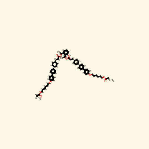 C=CC(=O)OCCCCCCOc1ccc(-c2ccc([C@H]3CC[C@H](CCC(=O)OC(CC)c4ccccc4C(CC)OC(=O)CC[C@H]4CC[C@H](c5ccc(-c6ccc(OCCCCCCOC(=O)C=C)cc6)cc5)CC4)CC3)cc2)cc1